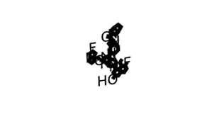 CCc1c(F)ccc2cc(O)cc(N3CCc4c(nc(OC[C@@]56CCCN5C[C@H](F)C6)nc4N4CCCn5nc(C(=O)N6CC7CCC(C6)O7)cc5C4)C3)c12